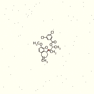 C=C[C@@]12CCN(C)Cc3ccc(OC)c(c31)OC2C[C@H](C)OC(=O)c1cc(Cl)cc(Cl)c1